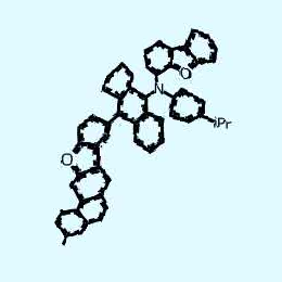 Cc1ccc2c(ccc3cc4c(cc32)oc2ccc(-c3c5ccccc5c(N(c5ccc(C(C)C)cc5)c5cccc6c5oc5ccccc56)c5ccccc35)cc24)c1